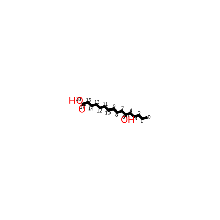 CCCCC[C@H](O)CCCCCCCCCC(=O)O